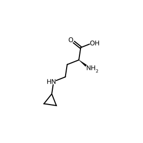 N[C@@H](CCNC1CC1)C(=O)O